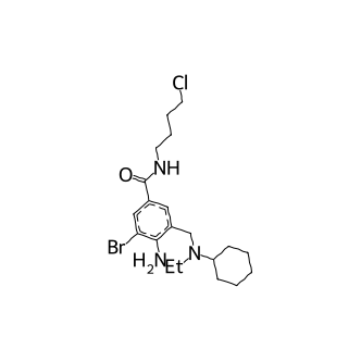 CCN(Cc1cc(C(=O)NCCCCCl)cc(Br)c1N)C1CCCCC1